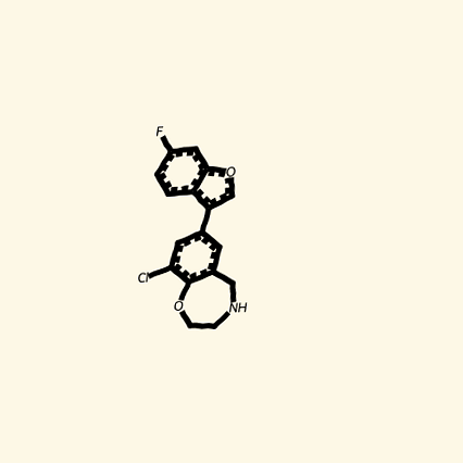 Fc1ccc2c(-c3cc(Cl)c4c(c3)CNCCO4)coc2c1